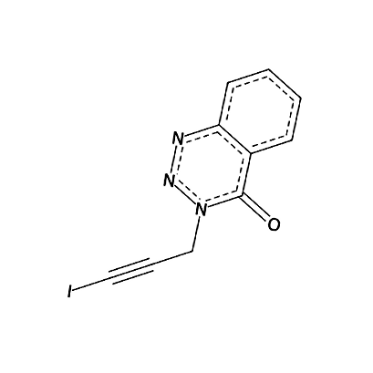 O=c1c2ccccc2nnn1CC#CI